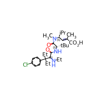 CCN[C@H](C(=O)N[C@H](C(=O)N(C)[C@H](/C=C(\C)C(=O)O)C(C)C)C(C)(C)C)C(CC)(CC)c1ccc(Cl)cc1